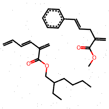 C=C(CC=Cc1ccccc1)C(=O)OC.C=CC=CC(=C)C(=O)OCC(CC)CCCC